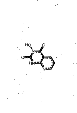 O=c1[nH]c2ncccc2c(=O)n1O